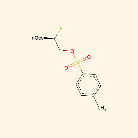 CCCCCCCC[C@@H](F)COS(=O)(=O)c1ccc(C)cc1